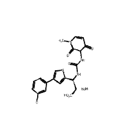 CN1C=CC(=O)C(NC(=O)N[C@@H](CC(=O)O)c2cc(-c3cccc(Cl)c3)cs2)C1=O.[NaH]